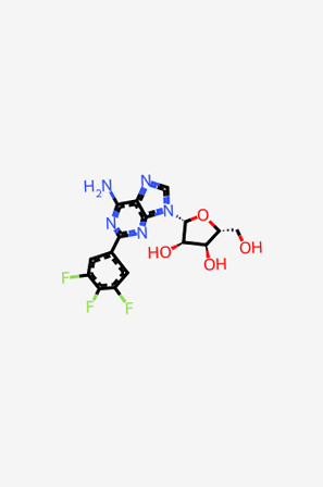 Nc1nc(-c2cc(F)c(F)c(F)c2)nc2c1ncn2[C@@H]1O[C@H](CO)[C@@H](O)[C@H]1O